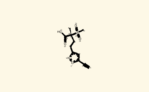 C#Cc1cc(CC[C@](C)(C(=O)O)S(C)(=O)=O)no1